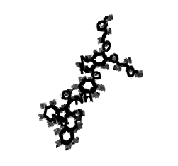 COCCOc1cc2ncnc(Oc3ccc(NC(=O)c4c5n(n(-c6ccccc6F)c4=O)CCCC5)cc3)c2cc1OCCOC